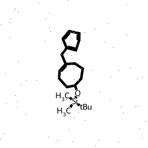 CC(C)(C)[Si](C)(C)OC1CCC=C(Cc2ccccc2)CCC1